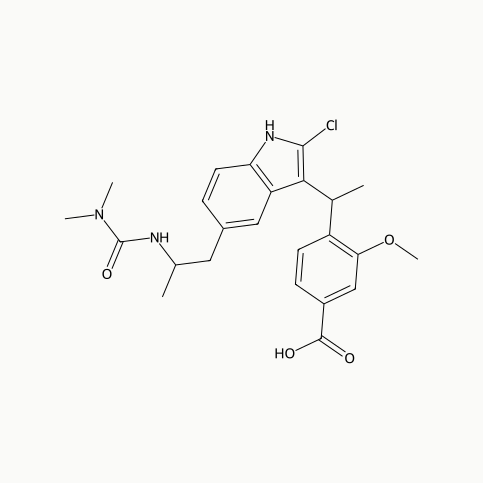 COc1cc(C(=O)O)ccc1C(C)c1c(Cl)[nH]c2ccc(CC(C)NC(=O)N(C)C)cc12